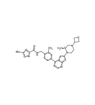 Cc1cc(-c2ncnn3cc(N4CCN(C5COC5)C[C@@H]4C)cc23)ccc1CNC(=O)c1noc(C(C)(C)C)n1